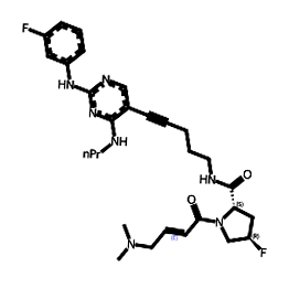 CCCNc1nc(Nc2cccc(F)c2)ncc1C#CCCCNC(=O)[C@@H]1C[C@@H](F)CN1C(=O)/C=C/CN(C)C